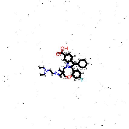 CCN(CC)CCN1CC2(COc3cc(F)ccc3-c3c(C4CCCCC4)c4ccc(C(=O)O)cc4n3C2)C1